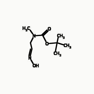 CN(CC=NO)C(=O)OC(C)(C)C